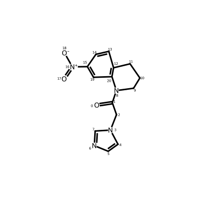 O=C(Cn1ccnc1)N1CCCc2ccc([N+](=O)[O-])cc21